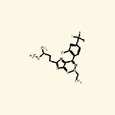 CCn1nc2nc(CCC(C)OC)nc-2c(-c2ccc(C(F)(F)F)cc2Cl)n1